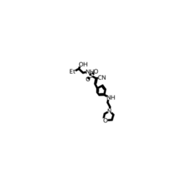 CCC(O)CNS(=O)(=O)/C(C#N)=C/c1ccc(NCCN2CCOCC2)cc1